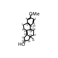 COc1ccc2c(c1)CCC1=C3C[C@@H](O)C[C@@]3(C)CC[C@@]12C